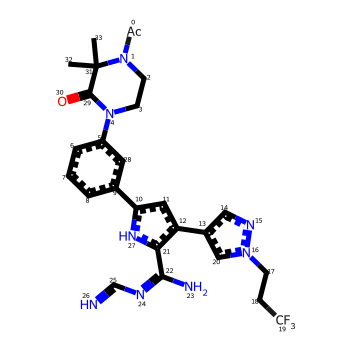 CC(=O)N1CCN(c2cccc(-c3cc(-c4cnn(CCC(F)(F)F)c4)c(/C(N)=N\C=N)[nH]3)c2)C(=O)C1(C)C